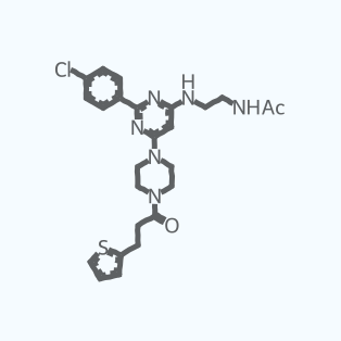 CC(=O)NCCNc1cc(N2CCN(C(=O)CCc3cccs3)CC2)nc(-c2ccc(Cl)cc2)n1